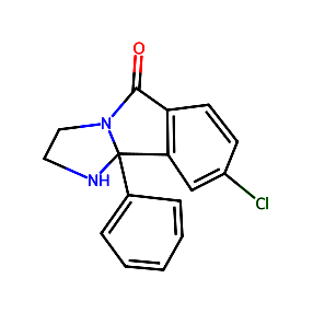 O=C1c2ccc(Cl)cc2C2(c3ccccc3)NCCN12